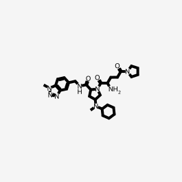 CN(C1CCCCC1)C1CC(C(=O)NCc2ccc3c(c2)nnn3C)N(C(=O)C(N)CCC(=O)N2CCCC2)C1